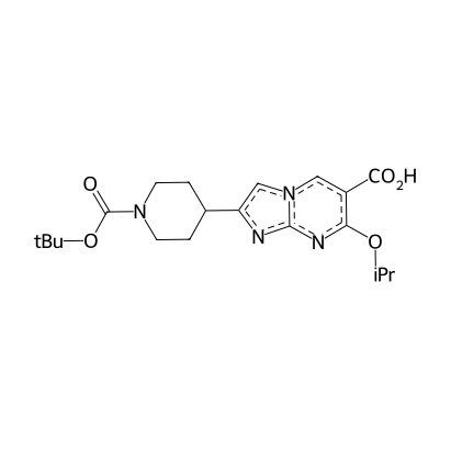 CC(C)Oc1nc2nc(C3CCN(C(=O)OC(C)(C)C)CC3)cn2cc1C(=O)O